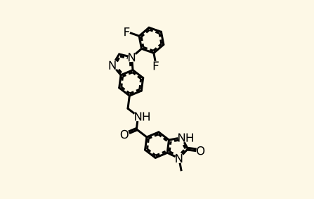 Cn1c(=O)[nH]c2cc(C(=O)NCc3ccc4c(c3)ncn4-c3c(F)cccc3F)ccc21